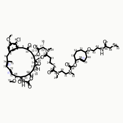 COc1cc2cc(c1Cl)CC(=O)C[C@H](OC(=O)[C@H](C)N(C)C(=O)CCSC(=O)N(C)CCN(C)C(=O)OC1/C=C/CC(OCCNC(=O)CSC)CCC1)[C@]1(C)O[C@H]1[C@H](C)[C@@H]1C[C@@](O)(NC(=O)O1)[C@H](OC)/C=C/C=C(\C)C2